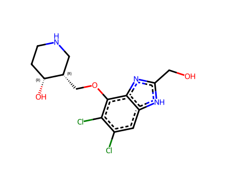 OCc1nc2c(OC[C@H]3CNCC[C@H]3O)c(Cl)c(Cl)cc2[nH]1